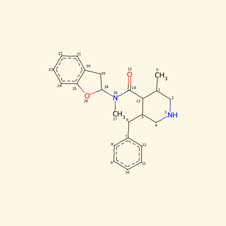 CC1CNCC(Cc2ccccc2)C1C(=O)N(C)C1Cc2ccccc2O1